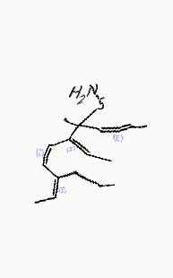 C\C=C(/C=C\C(=C\C)C(C)(/C=C/C)SN)CCC